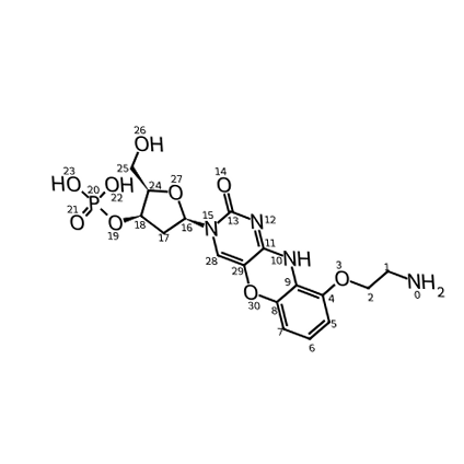 NCCOc1cccc2c1Nc1nc(=O)n([C@H]3C[C@@H](OP(=O)(O)O)[C@@H](CO)O3)cc1O2